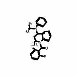 CC(C)C(=O)N(c1ccccc1)C1CC(C)N(C(=O)c2c(F)cccc2F)c2ccccc21